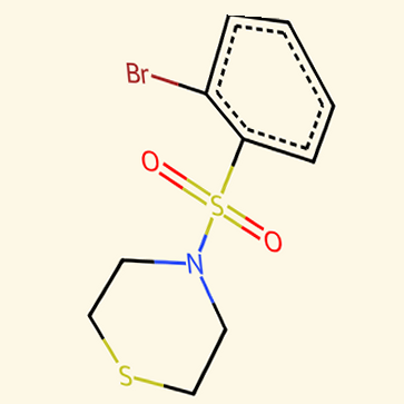 O=S(=O)(c1ccccc1Br)N1CCSCC1